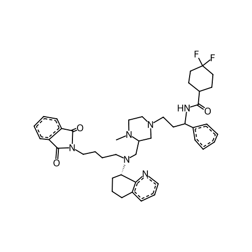 CN1CCN(CCC(NC(=O)C2CCC(F)(F)CC2)c2ccccc2)CC1CN(CCCCN1C(=O)c2ccccc2C1=O)[C@H]1CCCc2cccnc21